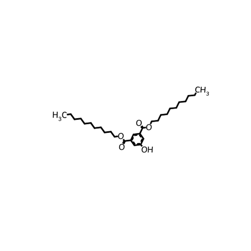 CCCCCCCCCCCOC(=O)c1cc(O)cc(C(=O)OCCCCCCCCCCC)c1